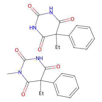 CCC1(c2ccccc2)C(=O)NC(=O)N(C)C1=O.CCC1(c2ccccc2)C(=O)NC(=O)NC1=O